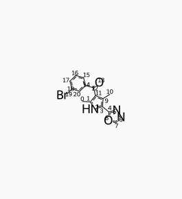 Cc1[nH]c(-c2nnco2)c(C)c1C(=O)c1cccc(Br)c1